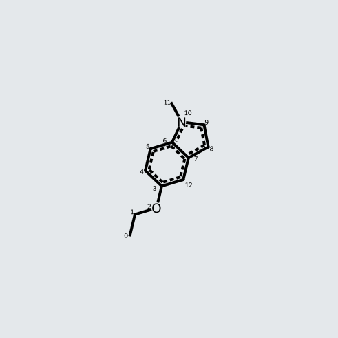 CCOc1ccc2c(ccn2C)c1